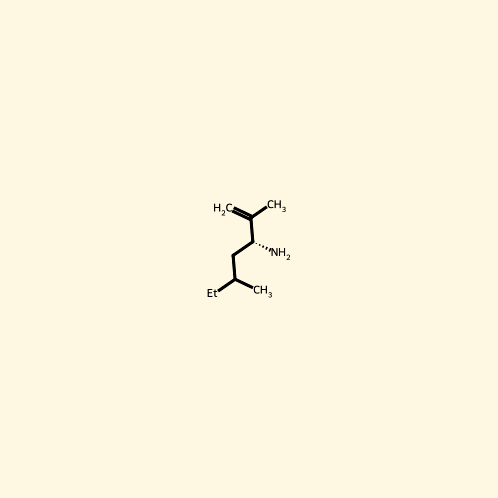 C=C(C)[C@H](N)CC(C)CC